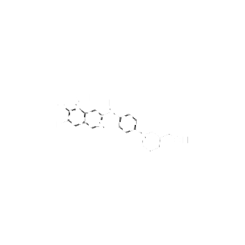 Cn1c(=O)c(F)cc2cnc(Nc3ccc(N4CCCC(CO)C4)cc3)cc21